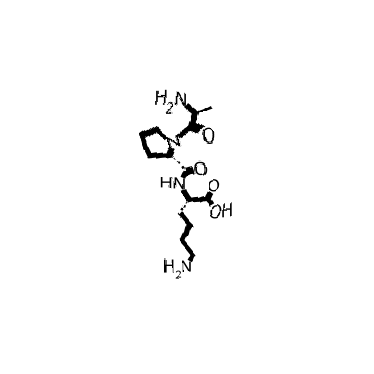 C[C@H](N)C(=O)N1CCC[C@H]1C(=O)N[C@@H](CCCCN)C(=O)O